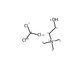 C[N+](C)(C)CCO.ClC(Cl)Cl